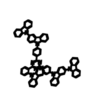 c1ccc(-n2c3ccccc3c3ccncc32)c(-c2nc(-c3ccc(-n4c5ccccc5c5cc(-n6c7ccccc7c7ccccc76)ccc54)cc3)nc(-c3ccc(-n4c5ccccc5c5cc(-n6c7ccccc7c7ccccc76)ccc54)cc3)n2)c1